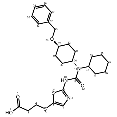 O=C(O)CCSc1cnc(NC(=O)N(C2CCCCC2)[C@H]2CC[C@H](OCc3ccccc3)CC2)s1